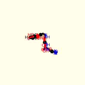 C[C@]12C=CC(=O)C=C1CC[C@@H]1[C@@H]2[C@@H](O)C[C@@]2(C)[C@H]1C[C@H]1O[C@@H](c3ccc(Cc4cnc(NC(=O)OCc5ccc(NC(=O)[C@H](CCC(=O)O)NC(=O)CNC(=O)Cc6ccc(-c7nncnn7)cc6)cc5)s4)cc3)O[C@]12C(=O)CO